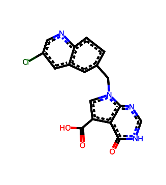 O=C(O)c1cn(Cc2ccc3ncc(Cl)cc3c2)c2nc[nH]c(=O)c12